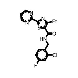 CCc1nc(-c2ncccn2)sc1C(=O)NCc1ccc(F)cc1Cl